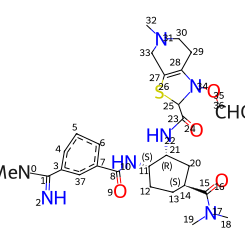 CNC(=N)c1cccc(C(=O)N[C@H]2CC[C@H](C(=O)N(C)C)C[C@H]2NC(=O)C2SC3=C(CCN(C)C3)N2OC=O)c1